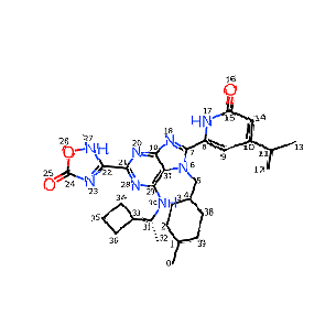 CC1CCC(Cn2c(-c3cc(C(C)C)cc(=O)[nH]3)nc3nc(-c4nc(=O)o[nH]4)nc(N[C@H](C)C4CCC4)c32)CC1